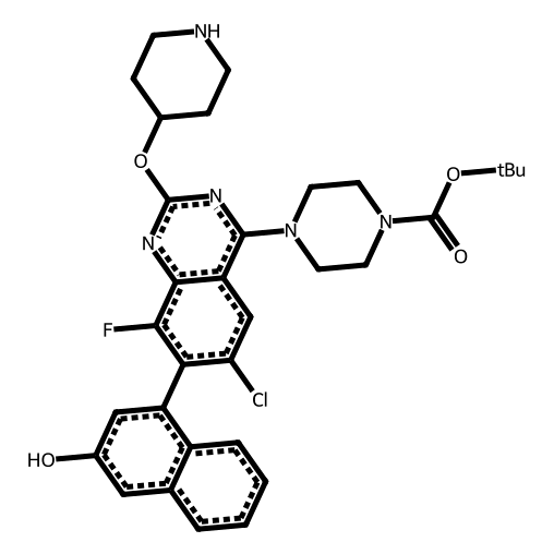 CC(C)(C)OC(=O)N1CCN(c2nc(OC3CCNCC3)nc3c(F)c(-c4cc(O)cc5ccccc45)c(Cl)cc23)CC1